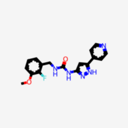 COc1cccc(CNC(=O)Nc2cc(-c3ccncc3)[nH]n2)c1F